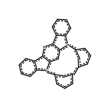 c1ccc2c(c1)c1nc3c4ccccc4n4c5cccc(c5)c5cccc(c5)n2c1cc34